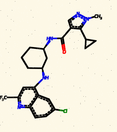 Cn1ncc(C(=O)N[C@@H]2CCC[C@H](Nc3cc(C(F)(F)F)nc4ccc(Cl)cc34)C2)c1C1CC1